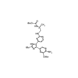 COc1nc(-c2nc(C(C)(C)C)[nH]c2-c2ccnc(NC[C@H](C)NC(=O)OCC(C)C)n2)cnc1N